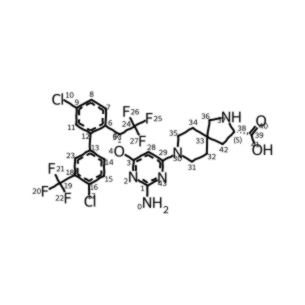 Nc1nc(O[C@H](c2ccc(Cl)cc2-c2ccc(Cl)c(C(F)(F)F)c2)C(F)(F)F)cc(N2CCC3(CC2)CN[C@H](C(=O)O)C3)n1